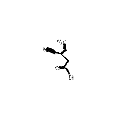 C=CC(C#N)CC(=O)O